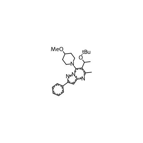 COC1CCN(c2c(C(C)OC(C)(C)C)c(C)nc3cc(-c4ccccc4)nn23)CC1